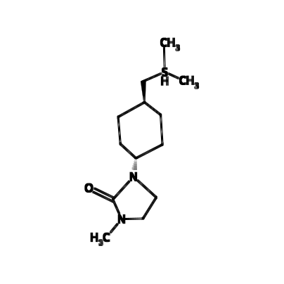 CN1CCN([C@H]2CC[C@H](C[SH](C)C)CC2)C1=O